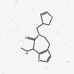 CNC1C(=O)N(CC2C=CSC2)CCc2ccsc21